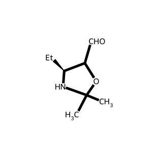 CC[C@@H]1NC(C)(C)OC1C=O